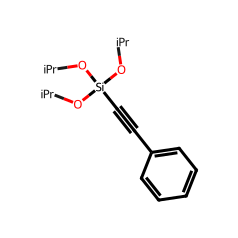 CC(C)O[Si](C#Cc1ccccc1)(OC(C)C)OC(C)C